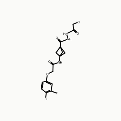 O=C(CCl)NNC(=O)C12CC(NC(=O)COc3ccc(Cl)c(F)c3)(C1)C2